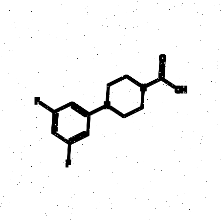 O=C(O)N1CCN(c2cc(F)cc(F)c2)CC1